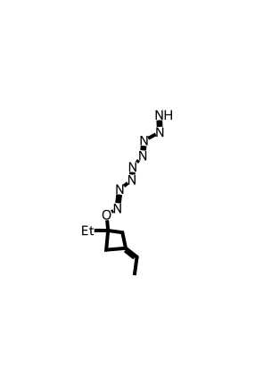 CC=C1CC(CC)(ON=NN=NN=NN=N)C1